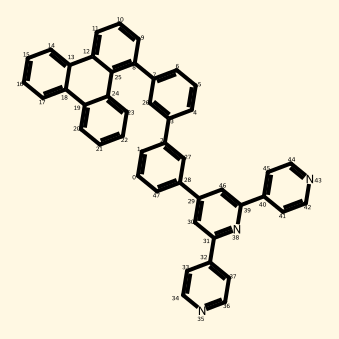 c1cc(-c2cccc(-c3cccc4c5ccccc5c5ccccc5c34)c2)cc(-c2cc(-c3ccncc3)nc(-c3ccncc3)c2)c1